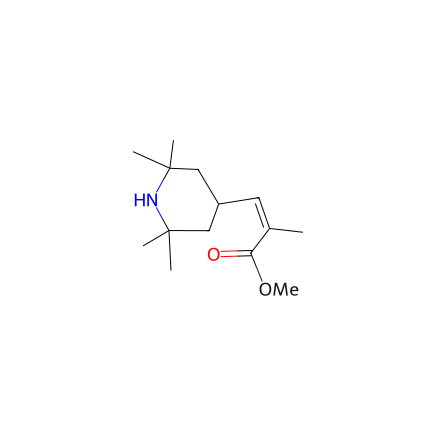 COC(=O)C(C)=CC1CC(C)(C)NC(C)(C)C1